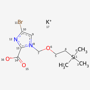 C[Si](C)(C)CCOCn1cc(Br)nc1C(=O)[O-].[K+]